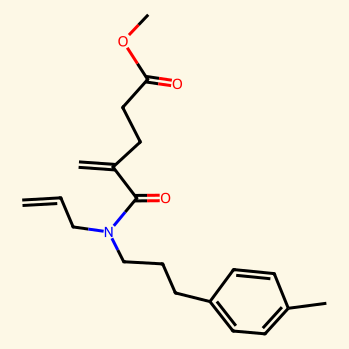 C=CCN(CCCc1ccc(C)cc1)C(=O)C(=C)CCC(=O)OC